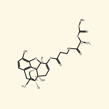 CC1CC[C@]23c4c5ccc(O)c4O[C@H]2C(OC(=O)CCNC(=O)[C@H](C)OC(=O)OC(C)(C)C)=CC[C@@]3(O)[C@H]1C5